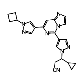 N#CCC(C1CC1)n1cc(-c2nc(-c3cnn(C4CCC4)c3)cc3nccn23)cn1